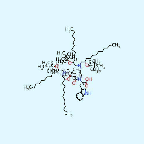 CCCCCCCCCCC(CN(CCCC(=O)N(CCCN(CC(CCCCCCCCCC)O[Si](C)(C)C(C)(C)C)CC(CCCCCCCCCC)O[Si](C)(C)C(C)(C)C)[C@@H](Cc1c[nH]c2ccccc12)C(=O)O)CC(CCCCCCCCCC)O[Si](C)(C)C(C)(C)C)O[Si](C)(C)C(C)(C)C